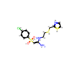 NC(=CS(=O)(=O)c1ccc(Cl)cc1)NCCSCc1nccs1